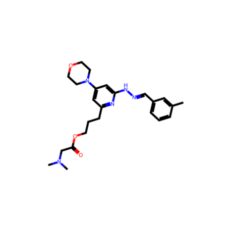 Cc1cccc(/C=N/Nc2cc(N3CCOCC3)cc(CCCOC(=O)CN(C)C)n2)c1